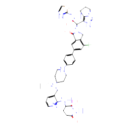 CN(Cc1cccnc1NC1CCC(=O)NC1=O)C1CCN(c2ccc(-c3cc(F)c4c(c3)C(=O)N(C(C(=O)Nc3nccs3)c3ncn5c3CCC5)C4)cc2)CC1